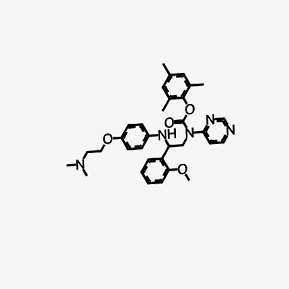 COc1ccccc1C(CN(C(=O)Oc1c(C)cc(C)cc1C)c1ccncn1)Nc1ccc(OCCN(C)C)cc1